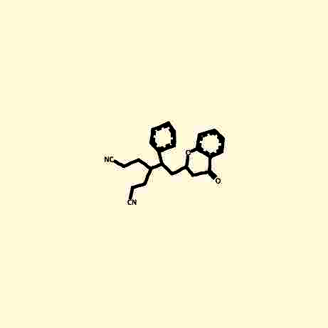 N#CCCC(CCC#N)C(CC1CC(=O)c2ccccc2O1)c1ccccc1